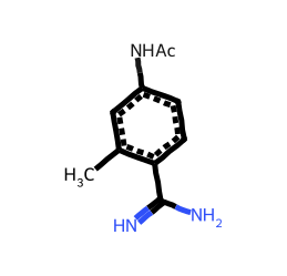 CC(=O)Nc1ccc(C(=N)N)c(C)c1